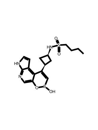 CCCCS(=O)(=O)N[C@H]1C[C@@H](C2=CB(O)Oc3cnc4[nH]ccc4c32)C1